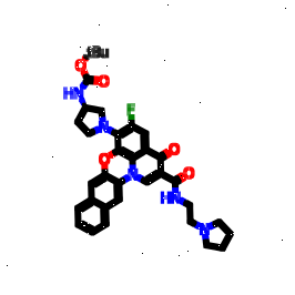 CC(C)(C)OC(=O)N[C@@H]1CCN(c2c(F)cc3c(=O)c(C(=O)NCCN4CCCC4)cn4c3c2Oc2cc3ccccc3cc2-4)C1